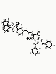 CN(c1cccc(CCCC2=C(O)CC(CCc3ccccc3)(CCc3ccccc3)OC2=O)c1)S(=O)(=O)c1ncnc2nc[nH]c12